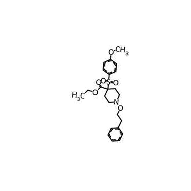 CCOC(=O)C1(S(=O)(=O)c2ccc(OC)cc2)CCN(OCCc2ccccc2)CC1